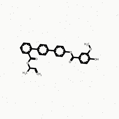 C=CC(C)OC(=O)c1ccccc1-c1ccc(-c2ccc(OC(=O)c3ccc(O)c(OC)c3)cc2)cc1